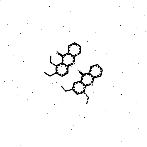 CCc1cc(CC)c2sc3ccccc3c(=O)c2c1.CCc1ccc2sc3ccccc3c(=O)c2c1CC